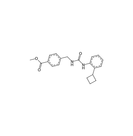 COC(=O)c1ccc(CNC(=O)Nc2ccccc2C2CCC2)cc1